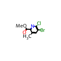 COC(=O)c1nc(Cl)c(Br)cc1C